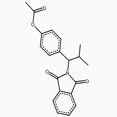 CC(=O)Oc1ccc(C(C(C)C)N2C(=O)c3ccccc3C2=O)cc1